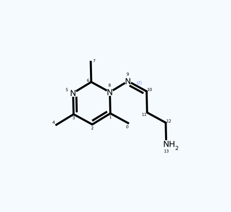 CC1=CC(C)=NC(C)N1/N=C\CCN